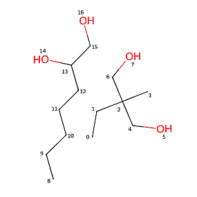 CCC(C)(CO)CO.CCCCCC(O)CO